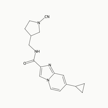 N#CN1CCC(CNC(=O)c2cn3ccc(C4CC4)cc3n2)C1